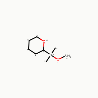 C[Si](C)(O[SiH3])C1CCCCO1